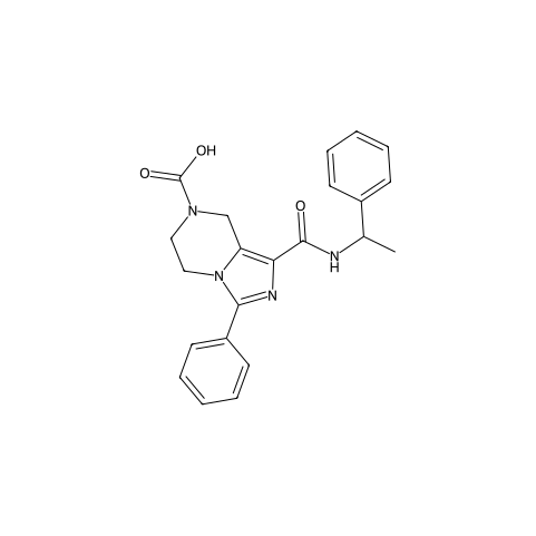 CC(NC(=O)c1nc(-c2ccccc2)n2c1CN(C(=O)O)CC2)c1ccccc1